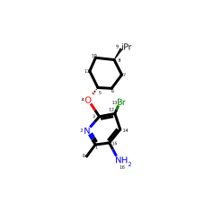 Cc1nc(O[C@H]2CC[C@H](C(C)C)CC2)c(Br)cc1N